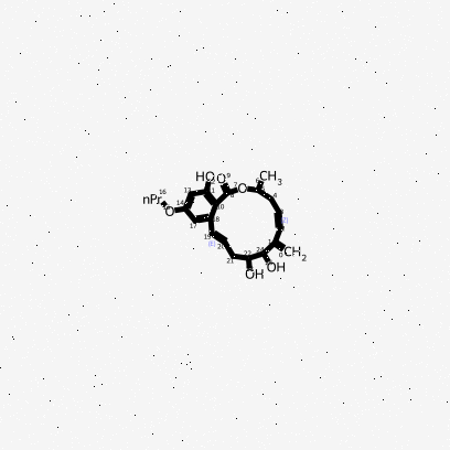 C=C1/C=C\CC(C)OC(=O)c2c(O)cc(OCCC)cc2/C=C/CC(O)C1O